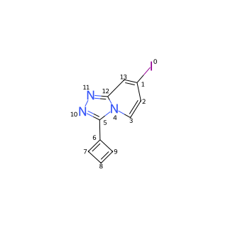 Ic1ccn2c(C3=CC=C3)nnc2c1